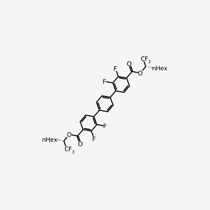 CCCCCC[C@H](OC(=O)c1ccc(-c2ccc(-c3ccc(C(=O)O[C@@H](CCCCCC)C(F)(F)F)c(F)c3F)cc2)c(F)c1F)C(F)(F)F